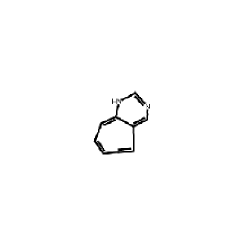 [C]1=NC=C2C=CC=CC=C2N1